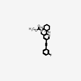 COC(=O)N1Cc2cc(C#Cc3cccc(F)c3)cnc2[C@H]2CCCC[C@H]21